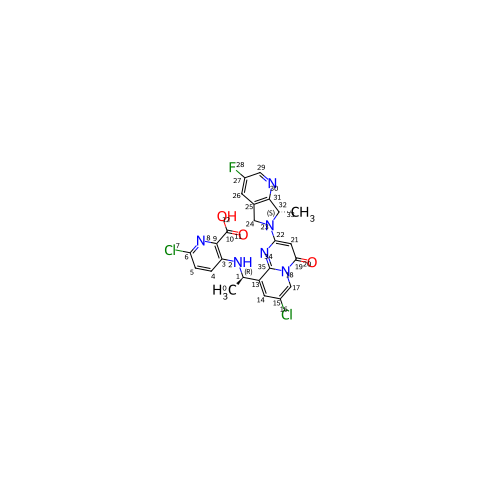 C[C@@H](Nc1ccc(Cl)nc1C(=O)O)c1cc(Cl)cn2c(=O)cc(N3Cc4cc(F)cnc4[C@@H]3C)nc12